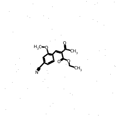 CCOC(=O)C(=Cc1ccc(C#N)cc1OC)C(C)=O